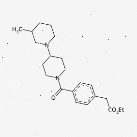 CCOC(=O)Cc1ccc(C(=O)N2CCC(N3CCCC(C)C3)CC2)cc1